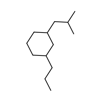 CCCC1CCCC(CC(C)C)C1